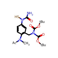 CC(=O)N(C)c1ccc(N(S)C(N)=O)cc1CN(C(=O)OC(C)(C)C)C(=O)OC(C)(C)C